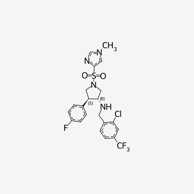 Cn1cnc(S(=O)(=O)N2C[C@H](NCc3ccc(C(F)(F)F)cc3Cl)[C@@H](c3ccc(F)cc3)C2)c1